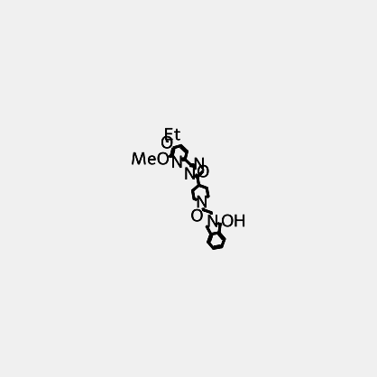 CCOc1ccc(-c2noc(C3CCN(C(=O)CN4Cc5ccccc5C4O)CC3)n2)nc1OC